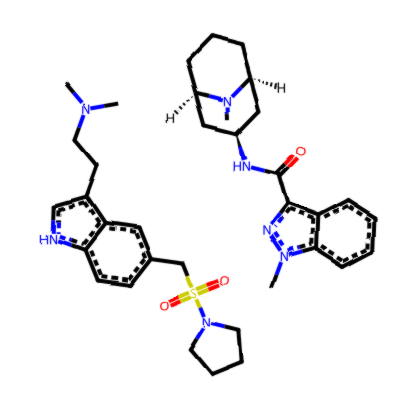 CN(C)CCc1c[nH]c2ccc(CS(=O)(=O)N3CCCC3)cc12.CN1[C@@H]2CCC[C@H]1C[C@@H](NC(=O)c1nn(C)c3ccccc13)C2